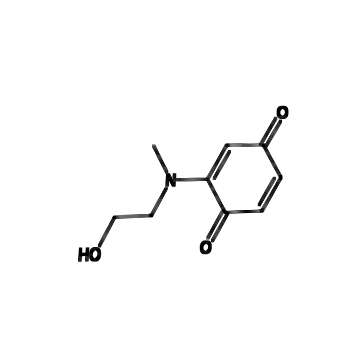 CN(CCO)C1=CC(=O)C=CC1=O